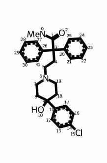 [11CH3]NC(=O)C(CCN1CCC(O)(c2ccc(Cl)cc2)CC1)(c1ccccc1)c1ccccc1